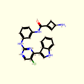 N[C@H]1C=C(C(=O)Nc2cccc(Nc3ncc(Cl)c(-c4c[nH]c5ccccc45)n3)c2)C1